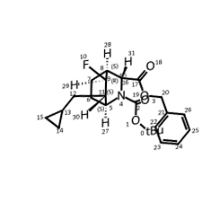 CC(C)(C)OC(=O)N1[C@H]2CC[C@H]([C@H](F)[C@H]2CC2CC2)[C@@H]1C(=O)OCc1ccccc1